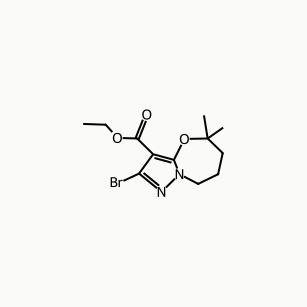 CCOC(=O)c1c(Br)nn2c1OC(C)(C)CCC2